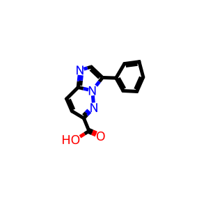 O=C(O)c1ccc2ncc(-c3ccccc3)n2n1